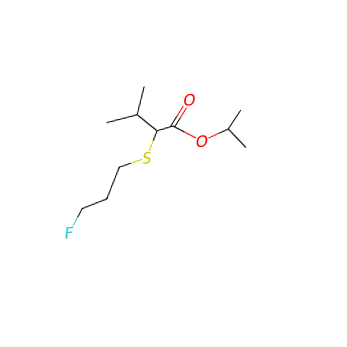 CC(C)OC(=O)C(SCCCF)C(C)C